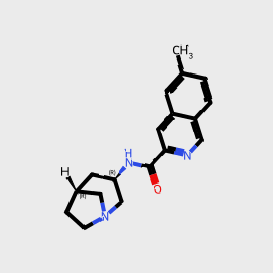 Cc1ccc2cnc(C(=O)N[C@@H]3C[C@H]4CCN(C4)C3)cc2c1